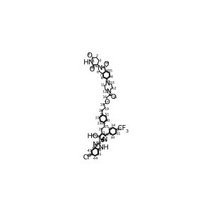 O=C1CCC(N2Cc3cc(N4CCN(C(=O)COCCCc5ccc(CCc6c(-c7ccc(C(F)(F)F)cc7)nn(-c7nc8cc(Cl)ccc8[nH]7)c6O)cc5)CC4)ccc3C2=O)C(=O)N1